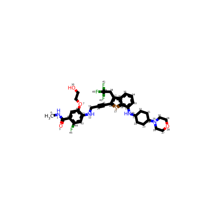 CNC(=O)c1cc(OCCO)c(NCC#Cc2sc3c(NC4CCC(N5CCOCC5)CC4)cccc3c2CC(F)(F)F)cc1F